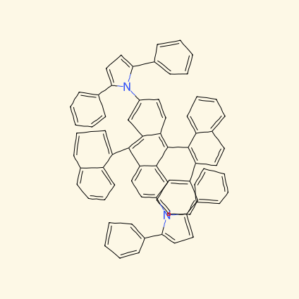 c1ccc(-c2ccc3ccccc3c2-c2c3ccc(-n4c(-c5ccccc5)ccc4-c4ccccc4)cc3c(-c3cccc4ccccc34)c3ccc(-n4c(-c5ccccc5)ccc4-c4ccccc4)cc23)cc1